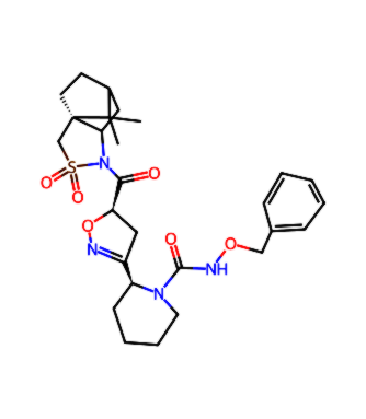 CC1(C)C2CC[C@]13CS(=O)(=O)N(C(=O)[C@H]1CC([C@@H]4CCCCN4C(=O)NOCc4ccccc4)=NO1)C3C2